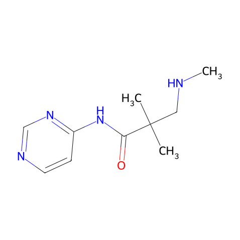 CNCC(C)(C)C(=O)Nc1ccncn1